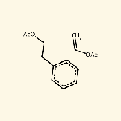 C=COC(C)=O.CC(=O)OCCc1ccccc1